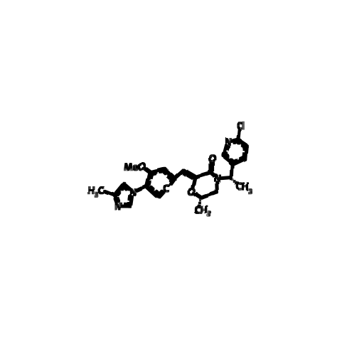 COc1cc(/C=C2\O[C@@H](C)CN([C@@H](C)c3ccc(Cl)nc3)C2=O)ccc1-n1cnc(C)c1